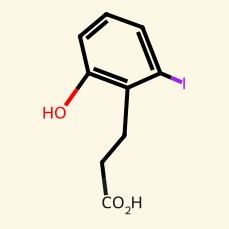 O=C(O)CCc1c(O)cccc1I